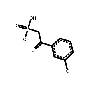 O=C(CP(=O)(O)O)c1cccc(Cl)c1